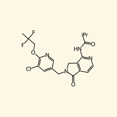 CC(C)C(=O)Nc1nccc2c1CN(Cc1cnc(OCC(C)(F)F)c(Cl)c1)C2=O